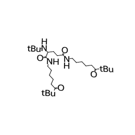 CC(C)(C)NC(CCC(=O)NCCCCCC(=O)C(C)(C)C)C(=O)NCCCCCC(=O)C(C)(C)C